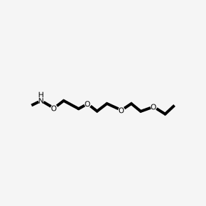 CCOCCOCCOCCONC